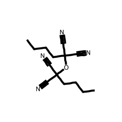 CCCCC(C#N)(C#N)OC(C#N)(C#N)CCCC